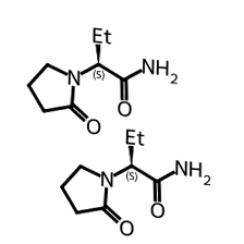 CC[C@@H](C(N)=O)N1CCCC1=O.CC[C@@H](C(N)=O)N1CCCC1=O